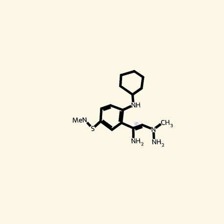 CNSc1ccc(NC2CCCCC2)c(/C(N)=C/N(C)N)c1